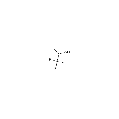 CC(S)C(F)(F)F